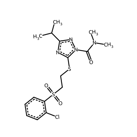 CC(C)c1nc(SCCS(=O)(=O)c2ccccc2Cl)n(C(=O)N(C)C)n1